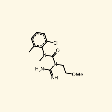 COCCN(C(=N)N)C(=O)N(C)c1c(C)cccc1Cl